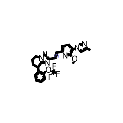 COc1nc(/C=C/c2nc3n(n2)CCCC3c2ccccc2OC(F)(F)F)ccc1-n1cnc(C)c1